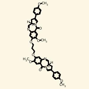 COc1ccc(C2=CN3C(=O)c4cc(OC)c(OCCCOc5cc6c(cc5OC)C(=O)N5C=C(c7ccc(OC)cc7)C[C@H]5C=N6)cc4N=C[C@@H]3C2)cc1